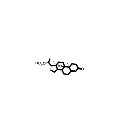 C[C@H](C(=O)O)[C@H]1CCC2C3CCC4=CC(=O)CC[C@]4(C)[C@@]3(O)CC[C@@]21C